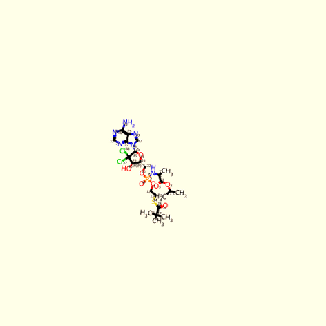 CC(C)OC(=O)C(C)NP(=O)(OCCSC(=O)C(C)(C)C)OC[C@H]1O[C@@H](n2cnc3c(N)ncnc32)C(Cl)(Cl)[C@@H]1O